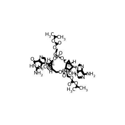 CO[C@H]1[C@H]2O[P@@](=O)(OCOC(=O)OC(C)C)OCC34C[C@@H]3[C@@H](n3cnc5c(N)ncnc53)[C@H](O)[C@@H]4[P@](=O)(SCOC(=O)OC(C)C)OC[C@H]1O[C@H]2n1cnc2c(=O)[nH]c(N)nc21